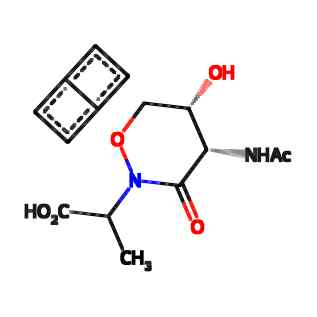 CC(=O)N[C@@H]1C(=O)N(C(C)C(=O)O)OC[C@@H]1O.c1cc2ccc1-2